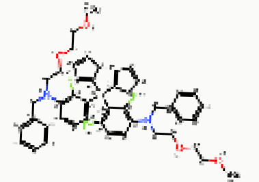 CCCCOCCOCCN(Cc1ccccc1)c1ccc(F)[c]([Ti]([C]2=CC=CC2)([C]2=CC=CC2)[c]2c(F)ccc(N(CCOCCOCCCC)Cc3ccccc3)c2F)c1F